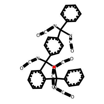 O=C=NC(N=C=O)(c1ccccc1)c1ccc(C(N=C=O)(N=C=O)c2ccccc2C(N=C=O)(N=C=O)c2ccccc2)cc1